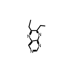 CCc1nc2cncnc2nc1CC